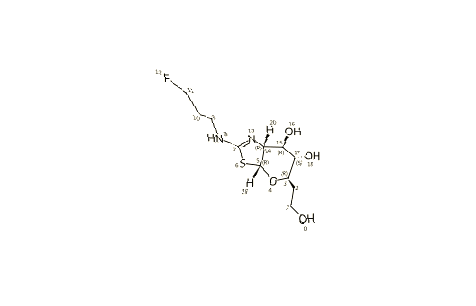 OCC[C@H]1O[C@@H]2SC(NCCCF)=N[C@@H]2[C@@H](O)[C@@H]1O